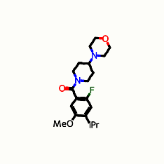 COc1cc(C(=O)N2CCC(N3CCOCC3)CC2)c(F)cc1C(C)C